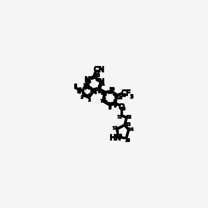 Cn1ccc2c(-c3ccc(OCCC4CCNC4)c(C(F)(F)F)c3)nc(C#N)nc21